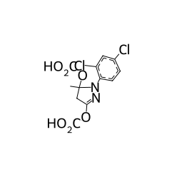 CC1(OC(=O)O)CC(OC(=O)O)=NN1c1ccc(Cl)cc1Cl